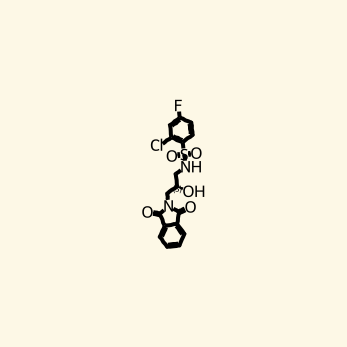 O=C1c2ccccc2C(=O)N1C[C@H](O)CNS(=O)(=O)c1ccc(F)cc1Cl